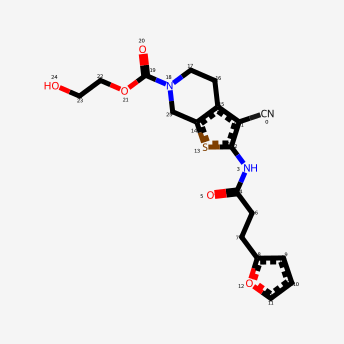 N#Cc1c(NC(=O)CCc2ccco2)sc2c1CCN(C(=O)OCCO)C2